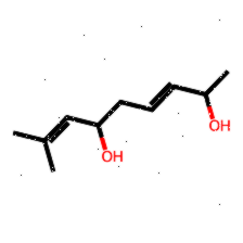 CC(C)=CC(O)CC=CC(C)O